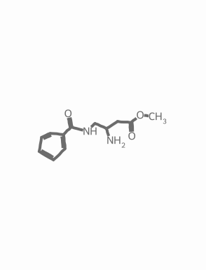 COC(=O)CC(N)CNC(=O)c1ccccc1